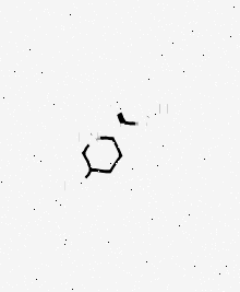 COC(=O)[C@@H]1CCC(O)CN1